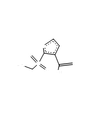 CC(=O)c1ccsc1S(=O)(=O)CN